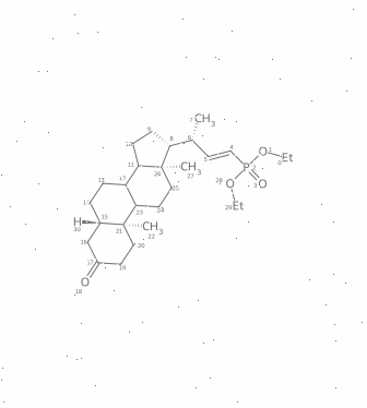 CCOP(=O)(/C=C/[C@@H](C)[C@H]1CCC2C3CC[C@H]4CC(=O)CC[C@]4(C)C3CC[C@@]21C)OCC